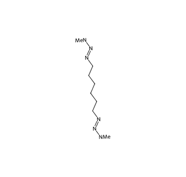 CNN=NCCCCCCN=NNC